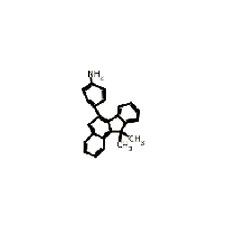 CC1(C)c2ccccc2-c2c(-c3ccc(N)cc3)cc3ccccc3c21